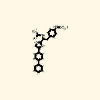 CC(C)(C)C(=O)NC(Cc1ccc(NS(=O)(=O)O)cc1)c1nc(-c2ccc(-c3ccccc3)cc2)cs1